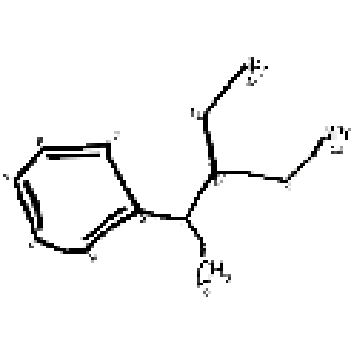 [CH2]C(c1ccccc1)C(CC(C)C)CC(C)C